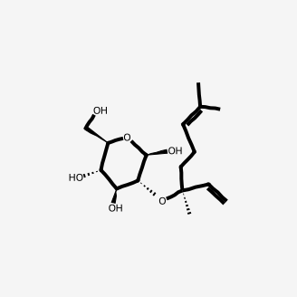 C=C[C@](C)(CCC=C(C)C)O[C@@H]1[C@@H](O)[C@H](O)[C@@H](CO)O[C@H]1O